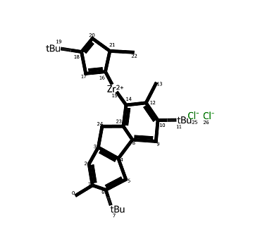 Cc1cc2c(cc1C(C)(C)C)-c1cc(C(C)(C)C)c(C)[c]([Zr+2][C]3=CC(C(C)(C)C)=CC3C)c1C2.[Cl-].[Cl-]